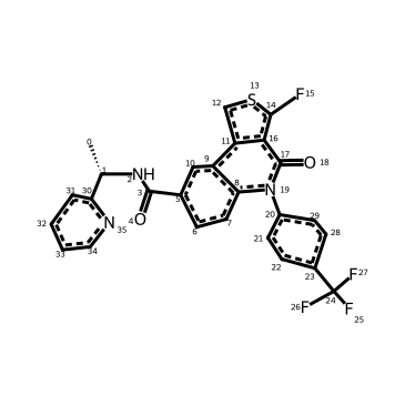 C[C@H](NC(=O)c1ccc2c(c1)c1csc(F)c1c(=O)n2-c1ccc(C(F)(F)F)cc1)c1ccccn1